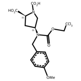 COc1ccc(CN(C(=O)OCC(Cl)(Cl)Cl)[C@H]2C[C@@H](C(=O)O)N(C(=O)O)C2)cc1